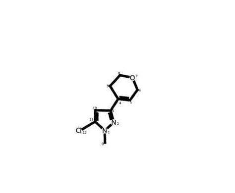 Cn1nc(C2=CCOCC2)cc1Cl